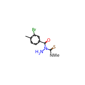 CNC(=S)N(N)C(=O)c1ccc(C)c(Br)c1